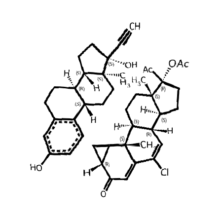 C#C[C@]1(O)CC[C@H]2[C@@H]3CCc4cc(O)ccc4[C@H]3CC[C@@]21C.CC(=O)O[C@]1(C(C)=O)CC[C@H]2[C@@H]3C=C(Cl)C4=CC(=O)[C@@H]5CC5[C@]4(C)[C@H]3CC[C@@]21C